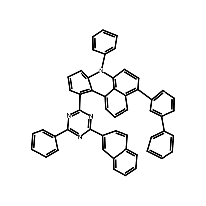 c1ccc(-c2cccc(-c3ccc4c5c(cccc35)-c3c(-c5nc(-c6ccccc6)nc(-c6ccc7ccccc7c6)n5)cccc3N4c3ccccc3)c2)cc1